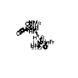 CCCC(Oc1cc(C(=O)NCC)[nH]c1C(=O)NCCCNC(=O)c1cc(OC(C)c2ccc3c(c2)COC3)c(C(=O)NC)[nH]1)c1ccccc1